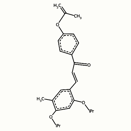 C=C(C)Oc1ccc(C(=O)C=Cc2cc(C)c(OC(C)C)cc2OC(C)C)cc1